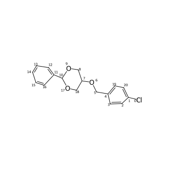 Clc1ccc(COC2COC(c3ccccc3)OC2)cc1